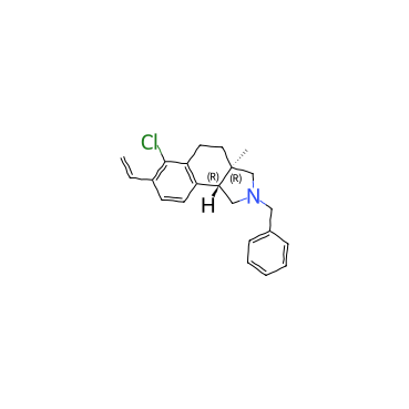 C=Cc1ccc2c(c1Cl)CC[C@@]1(C)CN(Cc3ccccc3)C[C@H]21